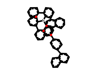 c1ccc(-c2ccccc2N(c2ccc(-c3ccc(-c4cccc5ccccc45)cc3)cc2)c2ccccc2-c2cccc3oc4c5ccccc5ccc4c23)cc1